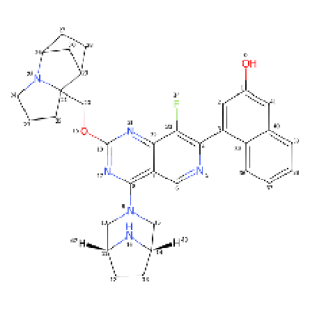 Oc1cc(-c2ncc3c(N4C[C@H]5CC[C@@H](C4)N5)nc(OCC45CCCN4C4CCC5C4)nc3c2F)c2ccccc2c1